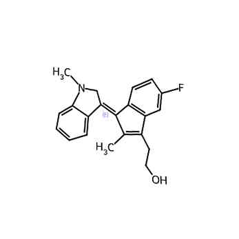 CC1=C(CCO)c2cc(F)ccc2/C1=C1\CN(C)c2ccccc21